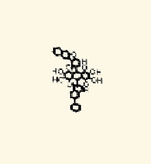 Oc1c(O)c(O)c2c(-c3ccc4oc5cc6ccccc6cc5c4c3)c3c(O)c(O)c(O)c(O)c3c(-c3ccc4cc(-c5ccccc5)ccc4c3)c2c1O